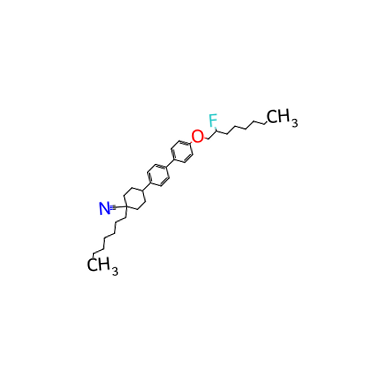 CCCCCCCC1(C#N)CCC(c2ccc(-c3ccc(OCC(F)CCCCCC)cc3)cc2)CC1